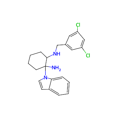 NC1(n2ccc3ccccc32)CCCCC1NCc1cc(Cl)cc(Cl)c1